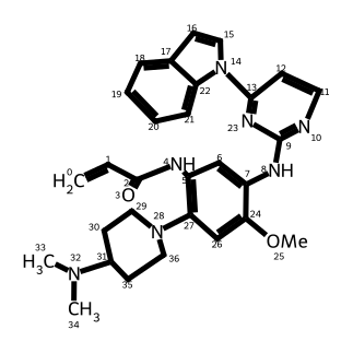 C=CC(=O)Nc1cc(Nc2nccc(-n3ccc4ccccc43)n2)c(OC)cc1N1CCC(N(C)C)CC1